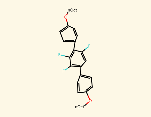 CCCCCCCCOc1ccc(-c2cc(F)c(-c3ccc(OCCCCCCCC)cc3)c(F)c2F)cc1